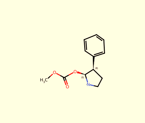 COC(=O)O[C@@H]1[N]CC[C@@H]1c1ccccc1